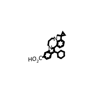 O=C(O)c1ccc2c(C3CCCCC3)c3n(c2c1)CCCN1CC2(CC2)c2cccc-3c21